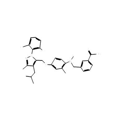 Cc1cc(OCc2c(CC(C)C)c(C)nn2-c2c(Cl)cccc2Cl)ccc1N(C)Cc1cccc(C(=O)O)c1